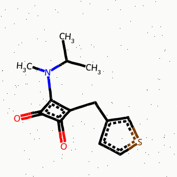 CC(C)N(C)c1c(Cc2ccsc2)c(=O)c1=O